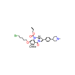 C=CCOC(=O)N1C[C@@H]2CC(c3ccc(C4CCN(C)CC4)cc3)=CN2C(=O)c2cc(OC)c(OCCCCCBr)cc21